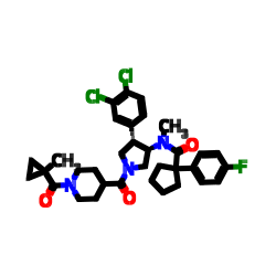 CN(C(=O)C1(c2ccc(F)cc2)CCCC1)[C@H]1CN(C(=O)C2CCN(C(=O)C3(C)CC3)CC2)C[C@@H]1c1ccc(Cl)c(Cl)c1